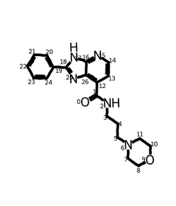 O=C(NCCCN1CCOCC1)c1ccnc2[nH]c(-c3ccccc3)nc12